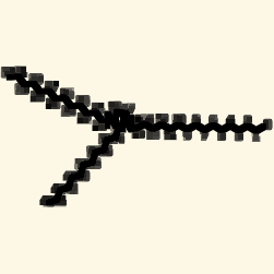 CCCCCCCCCCCCCCCC[n+]1ccn(CCCCCCCCCCCCC)c1CCCCCCCCCCCC